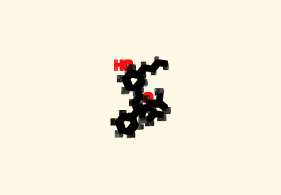 CCCCc1cc(C(CCc2ccccc2)O[Si](C(C)C)(C(C)C)C(C)C)ccc1O